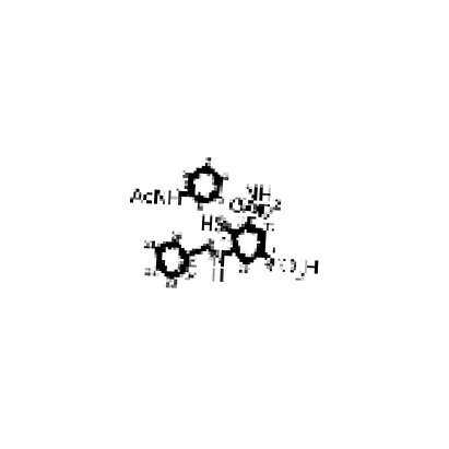 CC(=O)Nc1ccccc1.NS(=O)(=O)c1cc(C(=O)O)cc(NCc2ccccc2)c1S